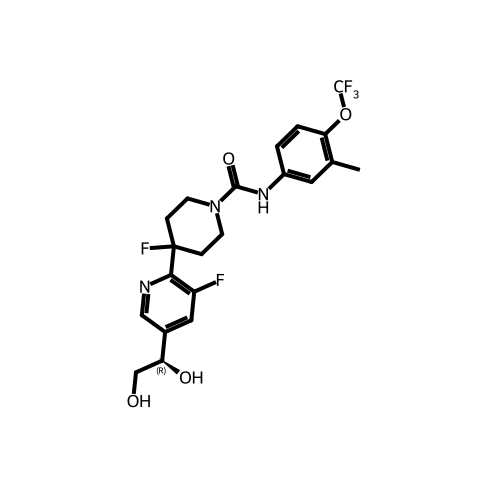 Cc1cc(NC(=O)N2CCC(F)(c3ncc([C@@H](O)CO)cc3F)CC2)ccc1OC(F)(F)F